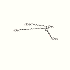 CCCCCCCCCCCCCCCCCCCCCCCCCCCCCCCCCC.CCCCCCCCCCCCCCCCCCCCCCCCCCCCCCCCCC(=O)OCCCCCCCCCCCCCCCCCCC